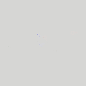 Cc1cc(C(S)c2nc(-c3ccc(Cl)cc3)no2)ccc1O